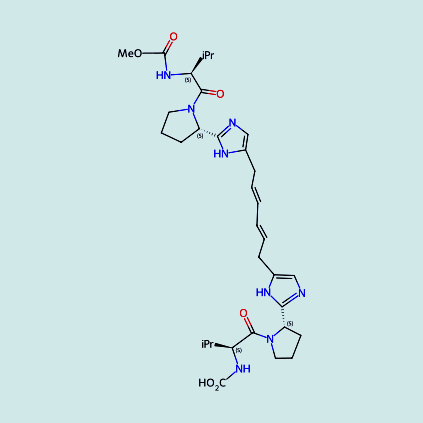 COC(=O)N[C@H](C(=O)N1CCC[C@H]1c1ncc(CC=CC=CCc2cnc([C@@H]3CCCN3C(=O)[C@@H](NC(=O)O)C(C)C)[nH]2)[nH]1)C(C)C